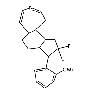 COc1ccccc1C1C2CCC3C=CN=CCC3C2CC1(F)F